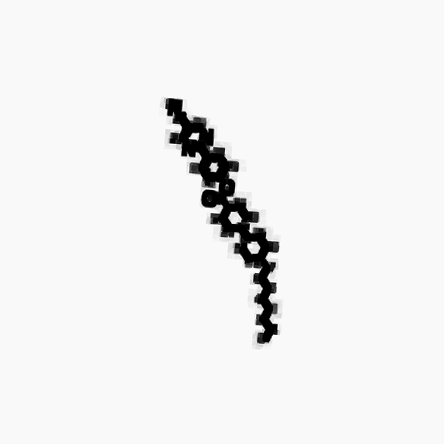 CCCCCCCC[C@H]1CC[C@H]([C@H]2CC[C@H](C(=O)Oc3ccc(-c4ncc(C#N)cn4)cc3)CC2)CC1